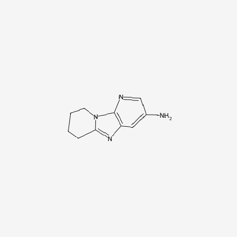 Nc1cnc2c(c1)nc1n2CCCC1